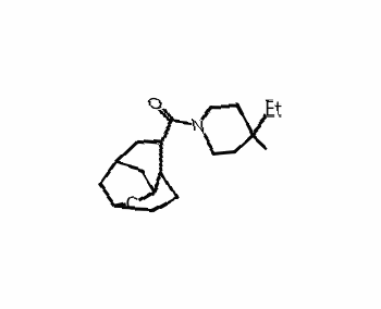 CCC1(C)CCN(C(=O)C2CC3CC4CCC2C(C4)C3)CC1